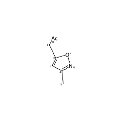 CC(=O)Cc1cc(C)no1